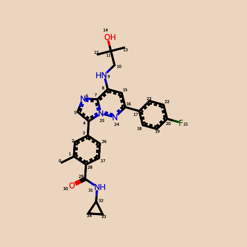 Cc1cc(-c2cnc3c(NCC(C)(C)O)cc(-c4ccc(F)cc4)nn23)ccc1C(=O)NC1CC1